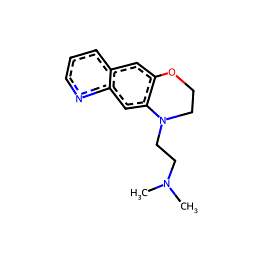 CN(C)CCN1CCOc2cc3cccnc3cc21